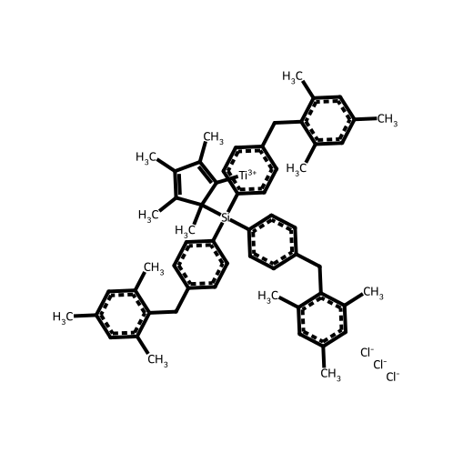 CC1=C(C)C(C)([Si](c2ccc(Cc3c(C)cc(C)cc3C)cc2)(c2ccc(Cc3c(C)cc(C)cc3C)cc2)c2ccc(Cc3c(C)cc(C)cc3C)cc2)[C]([Ti+3])=C1C.[Cl-].[Cl-].[Cl-]